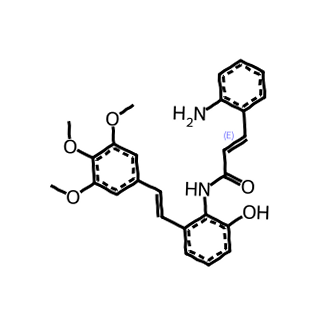 COc1cc(C=Cc2cccc(O)c2NC(=O)/C=C/c2ccccc2N)cc(OC)c1OC